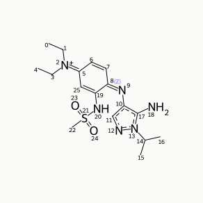 CC[N+](CC)=C1C=C/C(=N/c2cnn(C(C)C)c2N)C(NS(C)(=O)=O)=C1